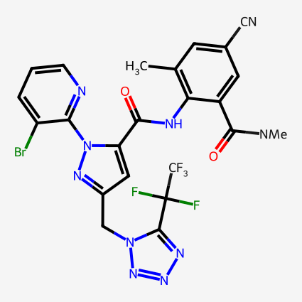 CNC(=O)c1cc(C#N)cc(C)c1NC(=O)c1cc(Cn2nnnc2C(F)(F)C(F)(F)F)nn1-c1ncccc1Br